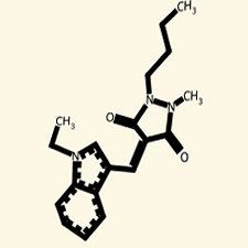 CCCCN1C(=O)/C(=C\c2cn(CC)c3ccccc23)C(=O)N1C